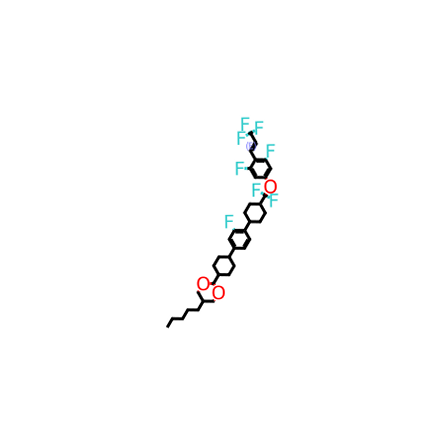 CCCCCC1COC(C2CCC(c3ccc(C4CCC(C(F)(F)Oc5cc(F)c(/C=C/C(F)(F)F)c(F)c5)CC4)c(F)c3)CC2)OC1